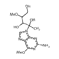 COc1nc(N)nc2c1ncn2C(C)(O)C(O)C(CO)OC